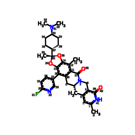 Cc1cc(C)c(CN2CCc3c(c(C)c4c(c3-c3ccc(F)nc3)O[C@](C)([C@H]3CC[C@H](N(C)C)CC3)O4)C2=O)c(=O)[nH]1